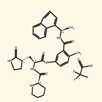 Cc1ccc(NC(=O)[C@H](C[C@@H]2CCNC2=O)NC(=O)[C@H]2CCCCN2)cc1C(=O)N[C@H](C)c1cccc2ccccc12.O=C(O)C(F)(F)F